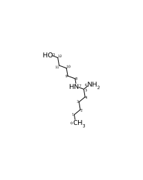 CCCCCC(N)NCCCCCO